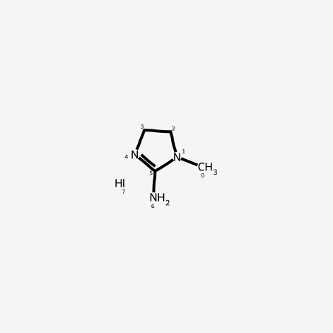 CN1CCN=C1N.I